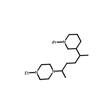 CCN1CCN(C(C)CCC(C)C2CCCN(C(C)C)C2)CC1